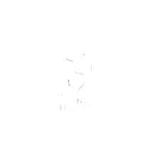 CN(C)c1c(I)cc(C(=O)O)c(I)c1I